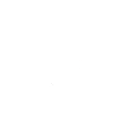 Cc1cc2c3c(ccc([N+](=O)[O-])c3c1)C(=O)OC2=O